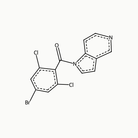 O=C(c1c(Cl)cc(Br)cc1Cl)n1ccc2cnccc21